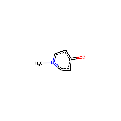 Cn1ccc(=O)cc1